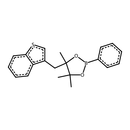 CC1(C)OB(c2ccccc2)OC1(C)Cc1csc2ccccc12